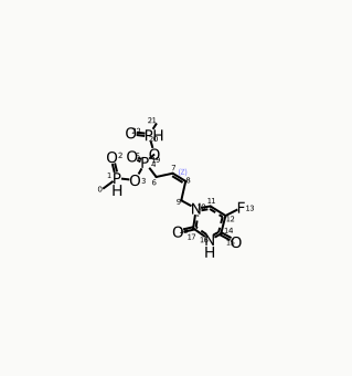 C[PH](=O)OP(=O)(C/C=C\Cn1cc(F)c(=O)[nH]c1=O)O[PH](C)=O